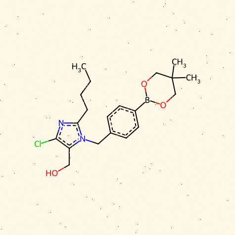 CCCCc1nc(Cl)c(CO)n1Cc1ccc(B2OCC(C)(C)CO2)cc1